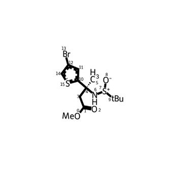 COC(=O)C[C@](C)(N[S+]([O-])C(C)(C)C)c1cc(Br)cs1